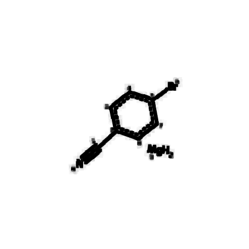 N#Cc1ccc(Br)cc1.[MgH2]